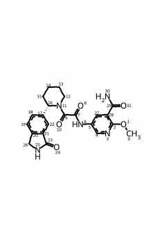 COc1ncc(NC(=O)C(=O)N2CCCC[C@H]2c2ccc3c(c2)C(=O)NC3)cc1C(N)=O